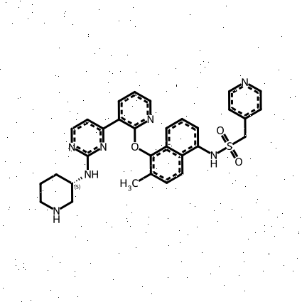 Cc1ccc2c(NS(=O)(=O)Cc3ccncc3)cccc2c1Oc1ncccc1-c1ccnc(N[C@H]2CCCNC2)n1